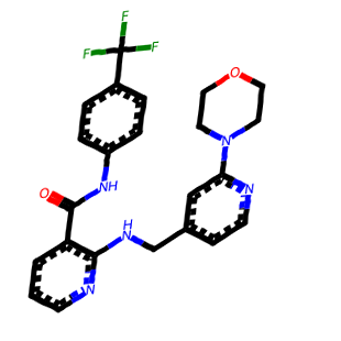 O=C(Nc1ccc(C(F)(F)F)cc1)c1cccnc1NCc1ccnc(N2CCOCC2)c1